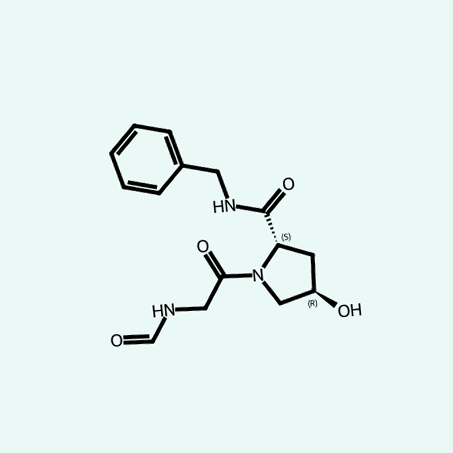 O=CNCC(=O)N1C[C@H](O)C[C@H]1C(=O)NCc1ccccc1